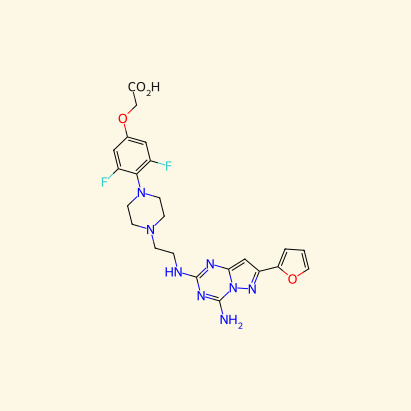 Nc1nc(NCCN2CCN(c3c(F)cc(OCC(=O)O)cc3F)CC2)nc2cc(-c3ccco3)nn12